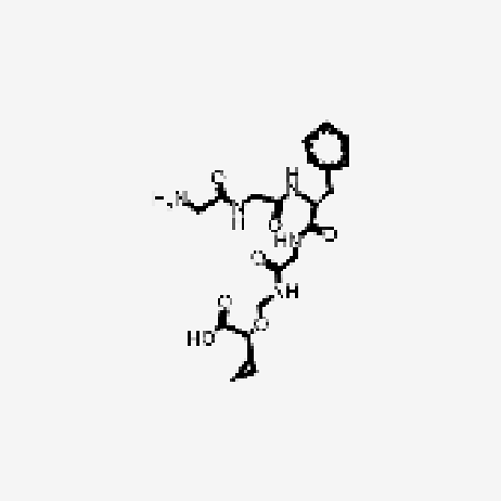 NCC(=O)NCC(=O)N[C@@H](Cc1ccccc1)C(=O)NCC(=O)NCO[C@H](C(=O)O)C1CC1